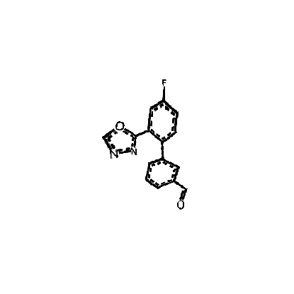 O=Cc1cccc(-c2ccc(F)cc2-c2nnco2)c1